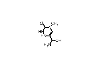 CN1C=C(C(N)O)NNC1Cl